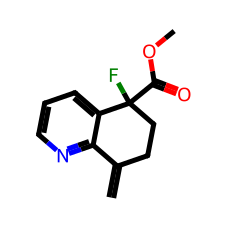 C=C1CCC(F)(C(=O)OC)c2cccnc21